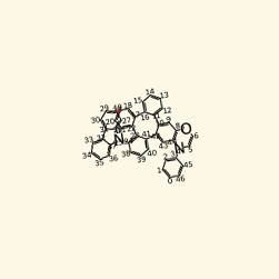 c1ccc(-n2ccoc3cc4c5ccccc5c5ccccc5c5c(-n6c7ccccc7c7ccccc76)cccc5c4cc32)cc1